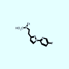 CCN(CCc1ccn(-c2ccc(F)cn2)n1)C(=O)O